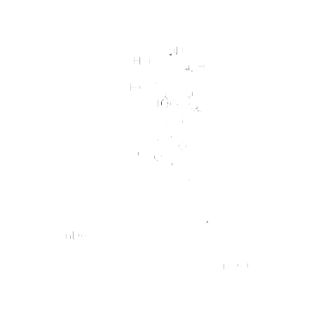 CCCCCCCC/C=C/CCCCCCCC(=O)OC(COC(=O)CCCCCCCCCCCCCCCCC)COP(=O)(O)OC1[C@@H](O)[C@H](O)C(O)[C@H](O)[C@H]1O